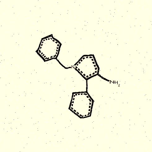 Nc1ccn(Cc2ccccc2)c1-c1ccccc1